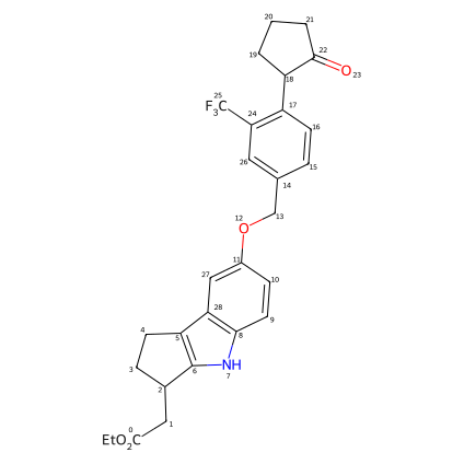 CCOC(=O)CC1CCc2c1[nH]c1ccc(OCc3ccc(C4CCCC4=O)c(C(F)(F)F)c3)cc21